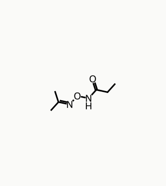 CCC(=O)NON=C(C)C